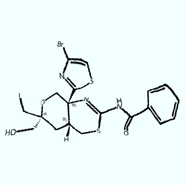 O=C(NC1=N[C@@]2(c3nc(Br)cs3)CO[C@](CO)(CI)C[C@H]2CS1)c1ccccc1